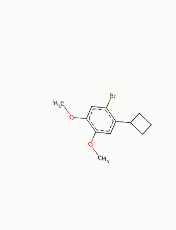 COc1cc(Br)c([C]2CCC2)cc1OC